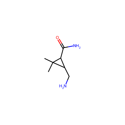 CC1(C)C(CN)C1C(N)=O